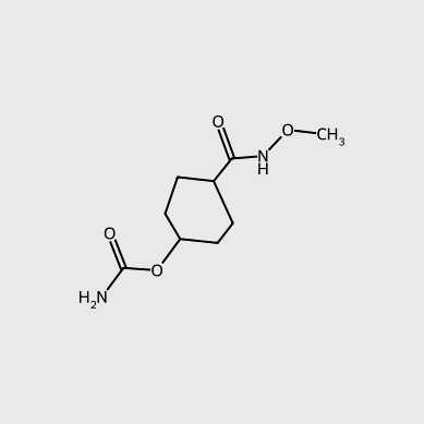 CONC(=O)C1CCC(OC(N)=O)CC1